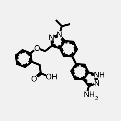 CC(C)n1nc(COc2ccccc2CC(=O)O)c2cc(-c3ccc4c(N)n[nH]c4c3)ccc21